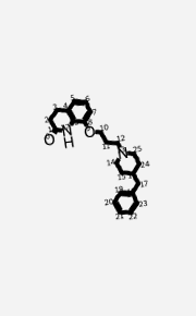 O=C1CCc2cccc(OCCCN3CCC(Cc4ccccc4)CC3)c2N1